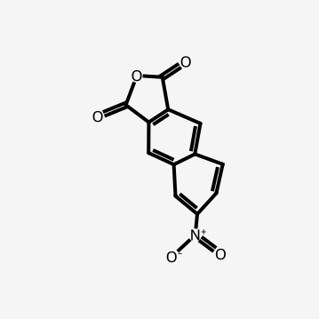 O=C1OC(=O)c2cc3cc([N+](=O)[O-])ccc3cc21